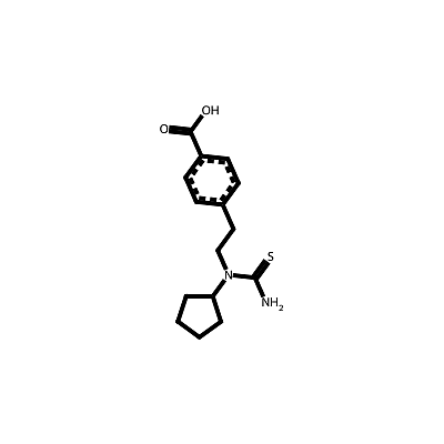 NC(=S)N(CCc1ccc(C(=O)O)cc1)C1CCCC1